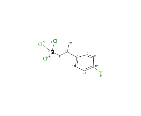 CC(C[Si](Cl)(Cl)Cl)c1ccc(F)cc1